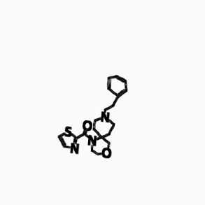 O=C(c1nccs1)N1CCOCC12CCN(CCc1ccccc1)CC2